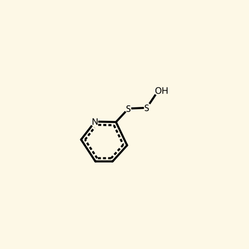 OSSc1ccccn1